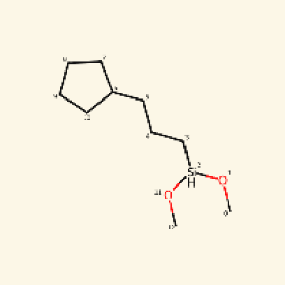 CO[SiH](CCCC1CCCC1)OC